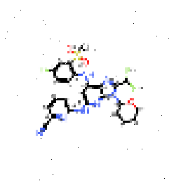 CS(=O)(=O)c1cc(F)ccc1Nc1cc(Nc2cccc(C#N)n2)nc2c1nc(C(F)F)n2C1CCCCO1